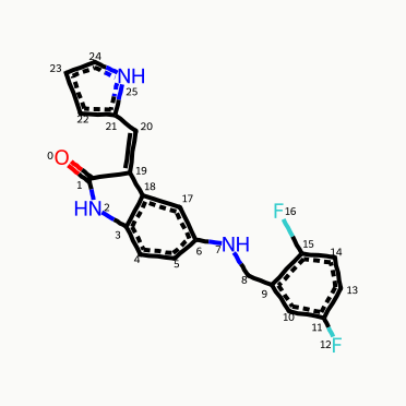 O=C1Nc2ccc(NCc3cc(F)ccc3F)cc2/C1=C/c1ccc[nH]1